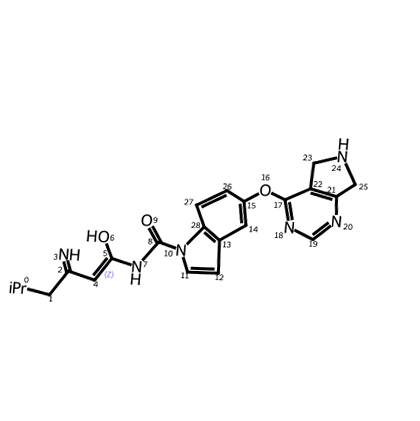 CC(C)CC(=N)/C=C(\O)NC(=O)n1ccc2cc(Oc3ncnc4c3CNC4)ccc21